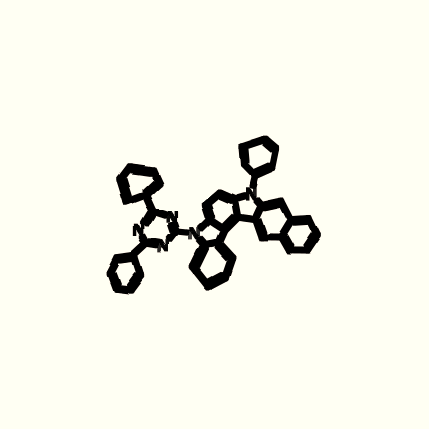 c1ccc(-c2nc(-c3ccccc3)nc(-n3c4ccccc4c4c5c6cc7ccccc7cc6n(-c6ccccc6)c5ccc43)n2)cc1